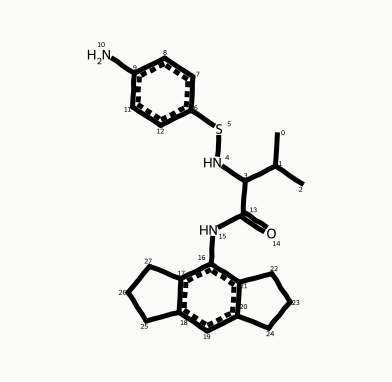 CC(C)C(NSc1ccc(N)cc1)C(=O)Nc1c2c(cc3c1CCC3)CCC2